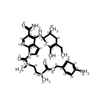 CCC1=C(O)CC(Nc2c(C(N)=O)cnc3c2ccn3C(=O)N(C)CCN(C)C(=O)OCc2ccc(N)cc2)C(C)C1